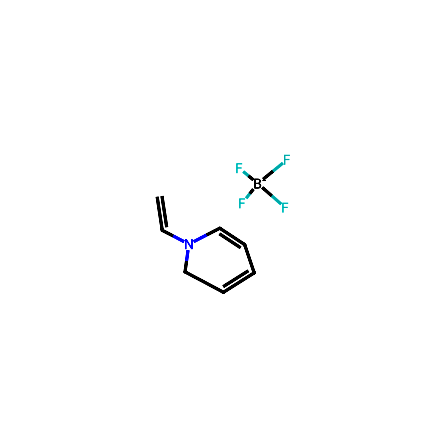 C=CN1C=CC=CC1.F[B-](F)(F)F